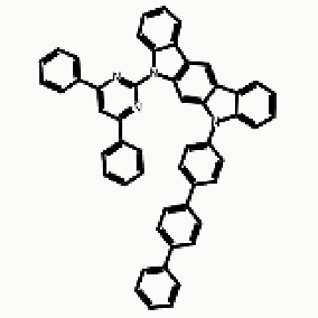 c1ccc(-c2ccc(-c3ccc(-n4c5ccccc5c5cc6c7ccccc7n(-c7nc(-c8ccccc8)cc(-c8ccccc8)n7)c6cc54)cc3)cc2)cc1